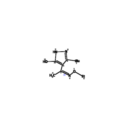 CCO/N=C(/C)c1c(C(C)(C)C)n[nH]c1O